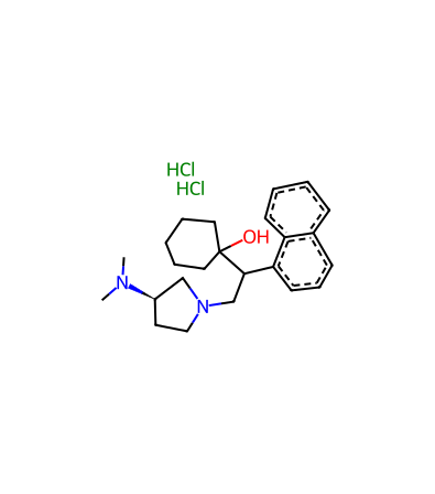 CN(C)[C@@H]1CCN(CC(c2cccc3ccccc23)C2(O)CCCCC2)C1.Cl.Cl